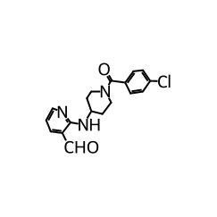 O=Cc1cccnc1NC1CCN(C(=O)c2ccc(Cl)cc2)CC1